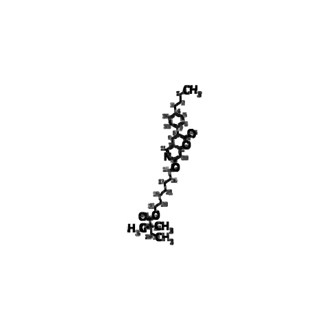 CCCCc1ccc(-c2cc3cnc(OCCCCCCCOC(=O)C(C)(C)CC)cc3oc2=O)cc1